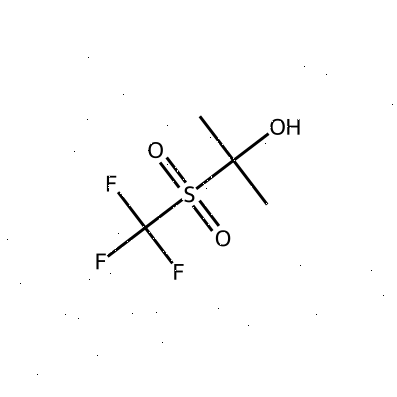 CC(C)(O)S(=O)(=O)C(F)(F)F